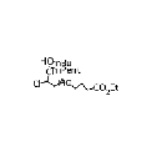 CC(=O)CC(Cl)Cl.CCCCCC.CCCCO.CCOC(=O)CCCO